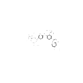 BC1(C(C)OI)CCC(C)CN(c2ccc(Nc3ccc(-c4cnc5cc(C)ccn45)c4c3C(=O)NC4)nc2)C1